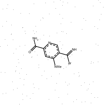 CNc1cc(C(N)=O)ncc1C(=N)Br